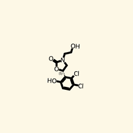 O=C1O[C@@H](c2c(O)ccc(Cl)c2Cl)CN1CCO